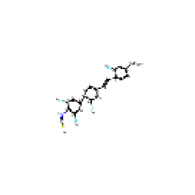 CCCCCc1ccc(C#Cc2ccc(-c3cc(F)c(N=C=S)c(F)c3)c(F)c2)c(F)c1